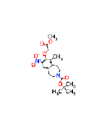 COC(=O)COc1c([N+](=O)[O-])cc2c(c1C)CCN(C(=O)OC(C)(C)C)CC2